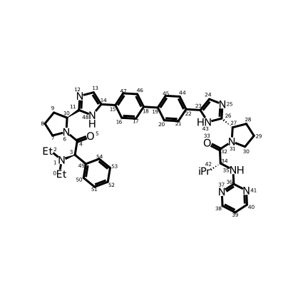 CCN(CC)[C@@H](C(=O)N1CCC[C@H]1c1ncc(-c2ccc(-c3ccc(-c4cnc([C@@H]5CCCN5C(=O)[C@H](Nc5ncccn5)C(C)C)[nH]4)cc3)cc2)[nH]1)c1ccccc1